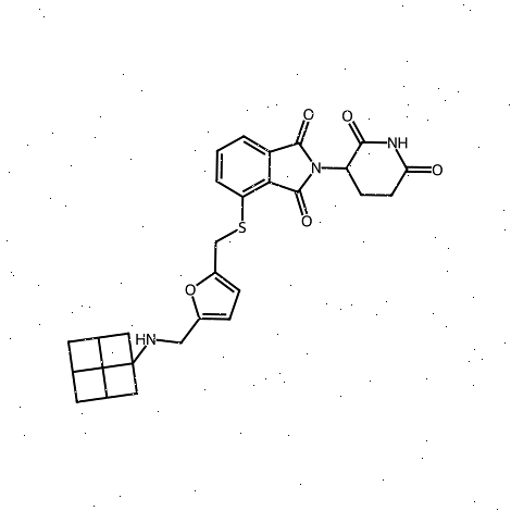 O=C1CCC(N2C(=O)c3cccc(SCc4ccc(CNC56CC7CC8CC(C5)C876)o4)c3C2=O)C(=O)N1